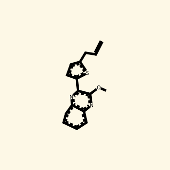 C=CCc1ccc(-c2nc3ccccc3nc2OC)s1